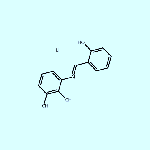 Cc1cccc(N=Cc2ccccc2O)c1C.[Li]